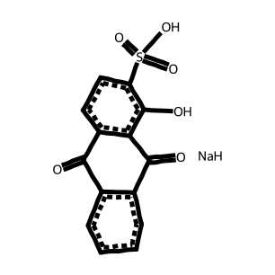 O=C1c2ccccc2C(=O)c2c1ccc(S(=O)(=O)O)c2O.[NaH]